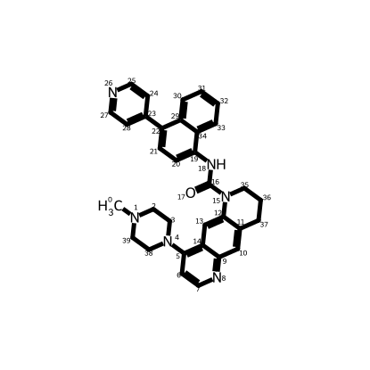 CN1CCN(c2ccnc3cc4c(cc23)N(C(=O)Nc2ccc(-c3ccncc3)c3ccccc23)CCC4)CC1